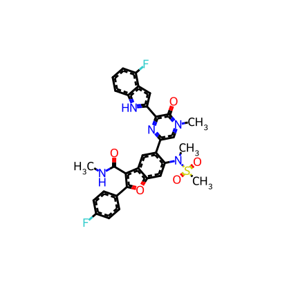 CNC(=O)c1c(-c2ccc(F)cc2)oc2cc(N(C)S(C)(=O)=O)c(-c3cn(C)c(=O)c(-c4cc5c(F)cccc5[nH]4)n3)cc12